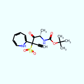 C#CC(C(=O)[C@H](C)NC(=O)OC(C)(C)C)(C1=CC=CC=CN1)[SH](=O)=O